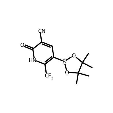 CC1(C)OB(c2cc(C#N)c(=O)[nH]c2C(F)(F)F)OC1(C)C